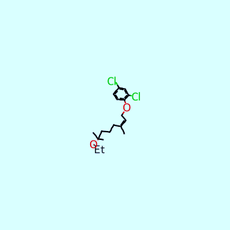 CCOC(C)(C)CCCC(C)=CCOc1ccc(Cl)cc1Cl